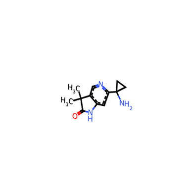 CC1(C)C(=O)Nc2cc(C3(N)CC3)ncc21